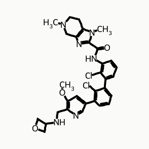 COc1cc(-c2cccc(-c3cccc(NC(=O)c4nc5c(n4C)CCN(C)C5)c3Cl)c2Cl)cnc1CNC1COC1